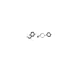 CCCc1cc(N)c2cc(NC(=O)C3CCC(c4ccc(Cl)cc4)CC3)ccc2n1